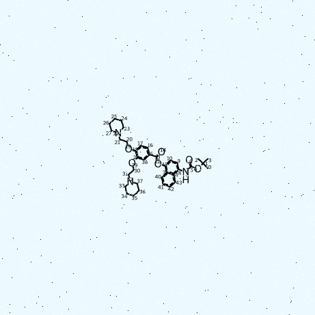 CC(C)(C)OC(=O)Nc1ccc(OC(=O)c2ccc(OCCN3CCCCC3)c(OCCN3CCCCC3)c2)c2ccccc12